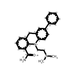 CN(C)CCN1c2ccc(-c3ccccc3)cc2Cc2cccc(C(N)=O)c21